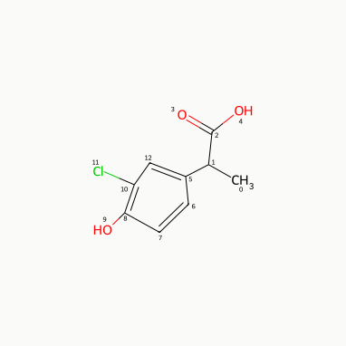 CC(C(=O)O)c1ccc(O)c(Cl)c1